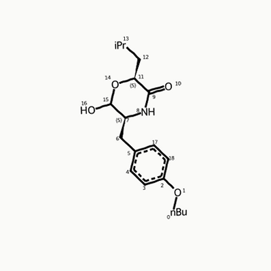 CCCCOc1ccc(C[C@@H]2NC(=O)[C@H](CC(C)C)OC2O)cc1